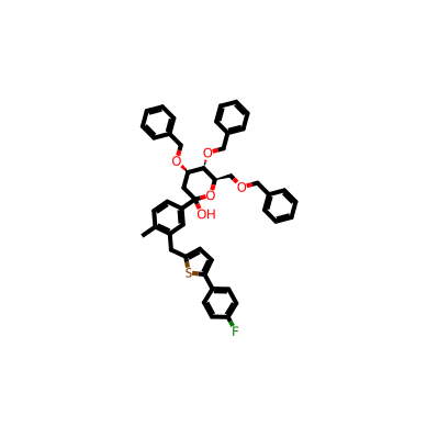 Cc1ccc(C2(O)C[C@@H](OCc3ccccc3)[C@H](OCc3ccccc3)[C@@H](COCc3ccccc3)O2)cc1Cc1ccc(-c2ccc(F)cc2)s1